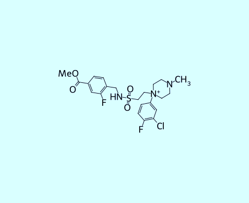 COC(=O)c1ccc(CNS(=O)(=O)CC[N+]2(c3ccc(F)c(Cl)c3)CCN(C)CC2)c(F)c1